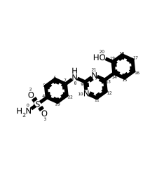 NS(=O)(=O)c1ccc(Nc2nccc(-c3ccccc3O)n2)cc1